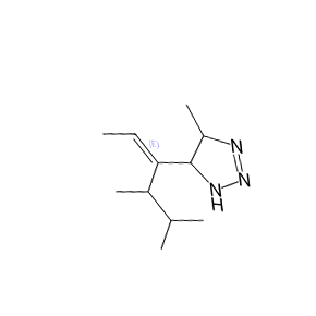 C/C=C(\C(C)C(C)C)C1NN=NC1C